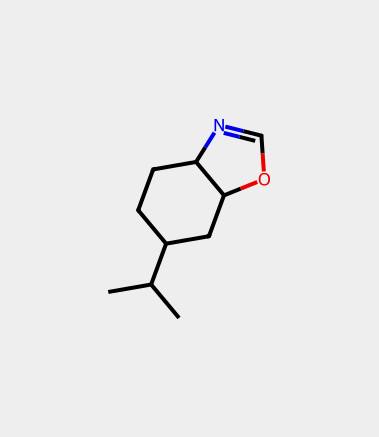 CC(C)C1CCC2N=COC2C1